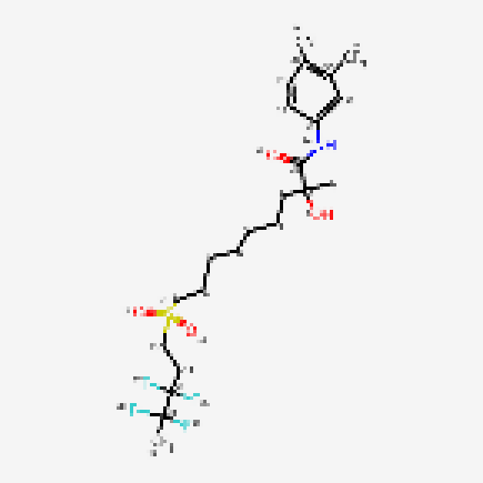 CC(O)(CCCCCCCS(=O)(=O)CCC(F)(F)C(F)(F)C(F)(F)F)C(=O)Nc1ccc(C#N)c(C(F)(F)F)c1